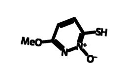 COc1ccc(S)[n+]([O-])n1